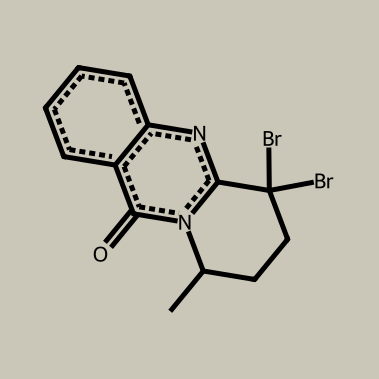 CC1CCC(Br)(Br)c2nc3ccccc3c(=O)n21